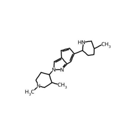 CC1CCC(c2ccc3cn(C4CCN(C)CC4C)nc3c2)NC1